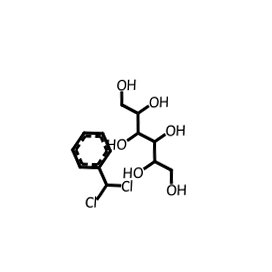 ClC(Cl)c1ccccc1.OCC(O)C(O)C(O)C(O)CO